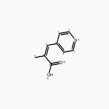 C/C(=C/c1ccncc1)C(=O)O